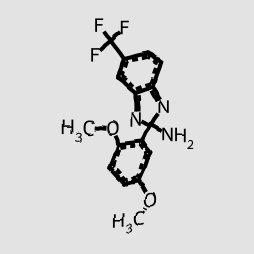 COc1ccc(OC)c(C2(N)N=c3ccc(C(F)(F)F)cc3=N2)c1